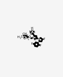 C[Si](C)(C)CCOCn1nc(N2C[C@@H](F)C[C@@H]2c2cc(F)ccc2F)cc1-c1nn[nH]n1